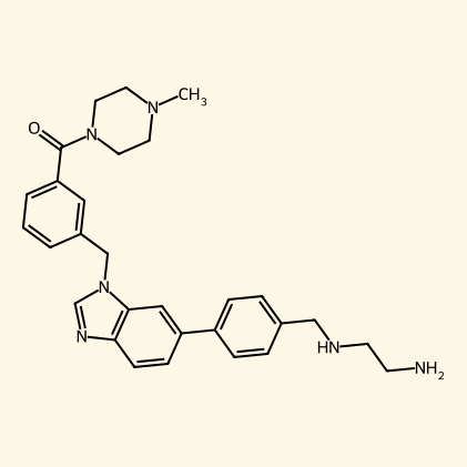 CN1CCN(C(=O)c2cccc(Cn3cnc4ccc(-c5ccc(CNCCN)cc5)cc43)c2)CC1